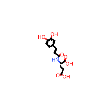 O=C(O)CC[C@H](NC(=O)/C=C/c1ccc(O)c(O)c1)C(=O)O